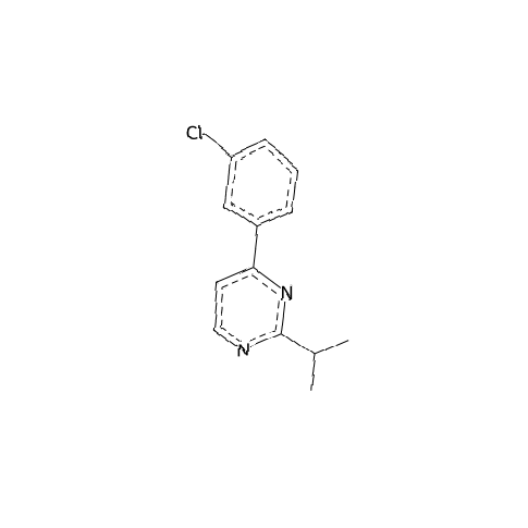 CC(C)c1nccc(-c2cccc(Cl)c2)n1